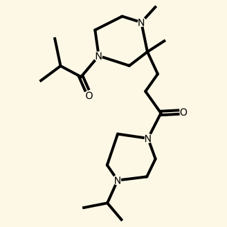 CC(C)C(=O)N1CCN(C)C(C)(CCC(=O)N2CCN(C(C)C)CC2)C1